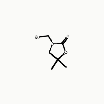 CCC(C)CN1CC(C)(C)OC1=O